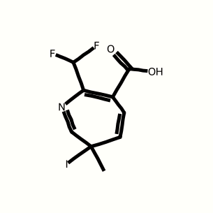 CC1(I)C=CC(C(=O)O)=C(C(F)F)N=C1